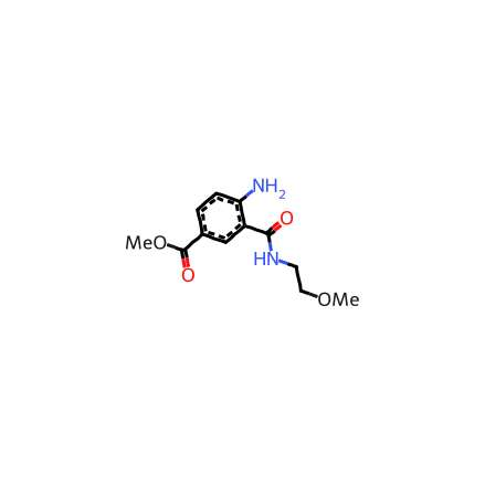 COCCNC(=O)c1cc(C(=O)OC)ccc1N